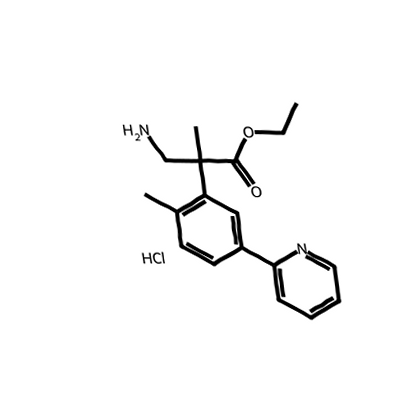 CCOC(=O)C(C)(CN)c1cc(-c2ccccn2)ccc1C.Cl